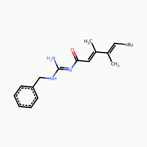 CCCC/C=C(C)/C(C)=C/C(=O)/N=C(\N)NCc1ccccc1